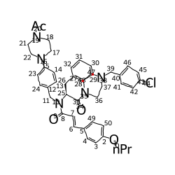 CCCOc1ccc(/C=C/C(=O)N(Cc2ccc(N3CCN(C(C)=O)CC3)cc2)[C@@H](Cc2ccccc2)C(=O)N2CCN(Cc3ccc(Cl)cc3)CC2)cc1